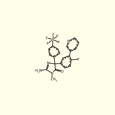 CN1C(=O)C(c2ccc(S(F)(F)(F)(F)F)cc2)(c2ccc(F)c(-c3cccnc3)c2)N=C1N